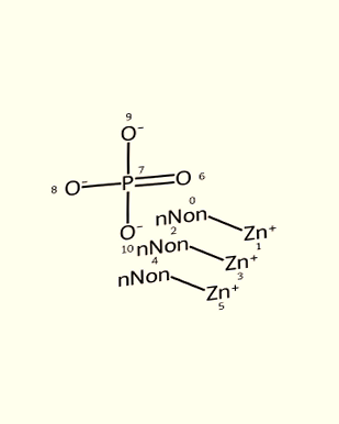 CCCCCCCC[CH2][Zn+].CCCCCCCC[CH2][Zn+].CCCCCCCC[CH2][Zn+].O=P([O-])([O-])[O-]